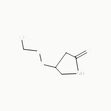 CCSSC1CNC(=O)C1